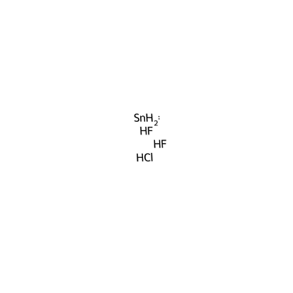 Cl.F.F.[SnH2]